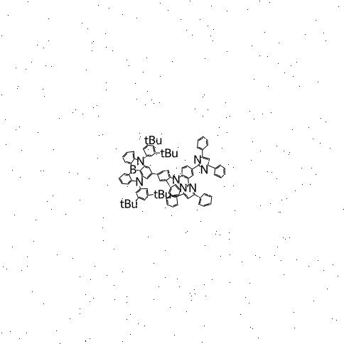 CC(C)(C)c1cc(N2c3ccccc3B3c4ccccc4N(c4cc(C(C)(C)C)cc(C(C)(C)C)c4)c4cc(-c5ccc6c(c5)c5ccccc5n6-c5ccc(-c6nc(-c7ccccc7)cc(-c7ccccc7)n6)cc5-c5nc(-c6ccccc6)cc(-c6ccccc6)n5)cc2c43)cc(C(C)(C)C)c1